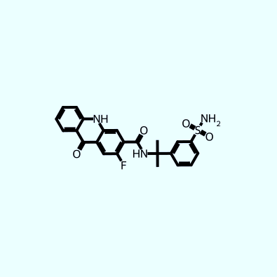 CC(C)(NC(=O)c1cc2[nH]c3ccccc3c(=O)c2cc1F)c1cccc(S(N)(=O)=O)c1